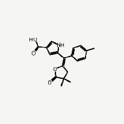 Cc1ccc(C(=C2CC(C)(C)C(=O)O2)c2cc(C(=O)O)c[nH]2)cc1